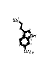 COc1ccc2c(CCC(C)(C)C)c[nH]c2c1